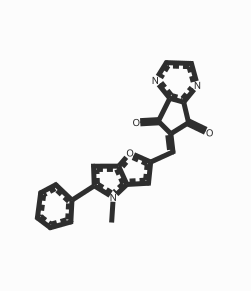 Cn1c(-c2ccccc2)cc2oc(C=C3C(=O)c4nccnc4C3=O)cc21